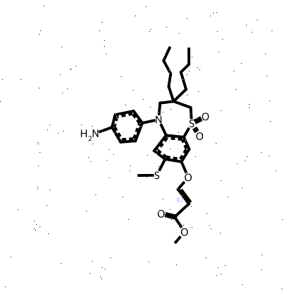 CCCCC1(CCCC)CN(c2ccc(N)cc2)c2cc(SC)c(O/C=C/C(=O)OC)cc2S(=O)(=O)C1